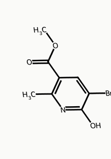 COC(=O)c1cc(Br)c(O)nc1C